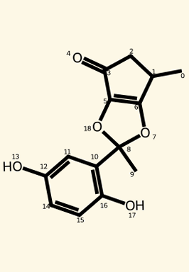 CC1CC(=O)C2=C1OC(C)(c1cc(O)ccc1O)O2